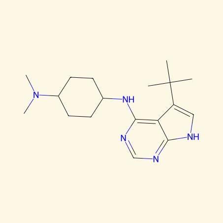 CN(C)C1CCC(Nc2ncnc3[nH]cc(C(C)(C)C)c23)CC1